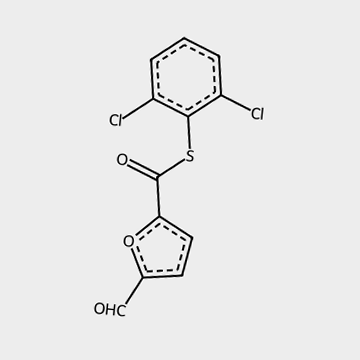 O=Cc1ccc(C(=O)Sc2c(Cl)cccc2Cl)o1